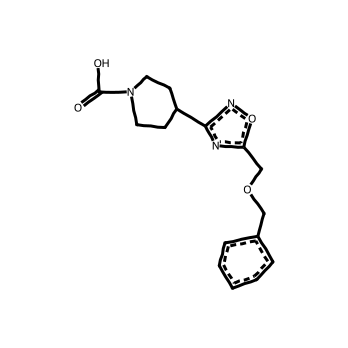 O=C(O)N1CCC(c2noc(COCc3ccccc3)n2)CC1